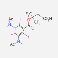 CC(=O)N(C)c1c(I)c(C(=O)OC(CS(=O)(=O)O)(C(F)(F)F)C(F)(F)F)c(I)c(N(C)C(C)=O)c1I